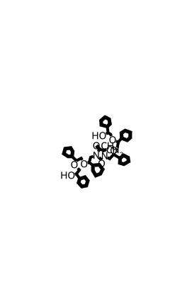 CC1(C)C(=O)N(CC(OCC(OCC(O)c2ccccc2)c2ccccc2)c2ccccc2)C(=O)N1CC(OCC(OCC(O)c1ccccc1)c1ccccc1)c1ccccc1